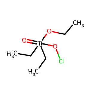 CC[O][Ti](=[O])([CH2]C)([CH2]C)[O]Cl